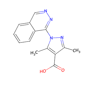 Cc1nn(-c2nncc3ccccc23)c(C)c1C(=O)O